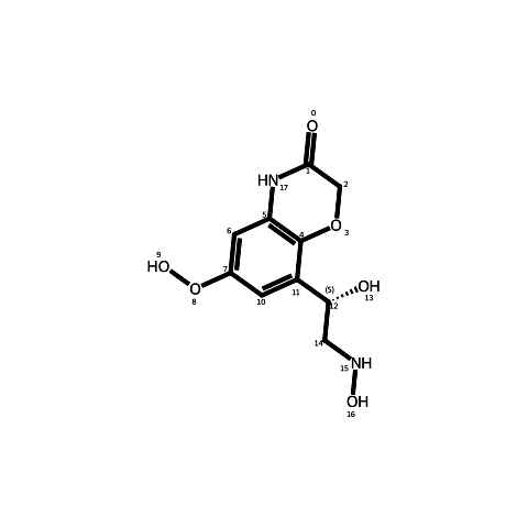 O=C1COc2c(cc(OO)cc2[C@H](O)CNO)N1